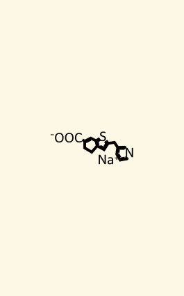 O=C([O-])C1=Cc2sc(Cc3cccnc3)cc2CC1.[Na+]